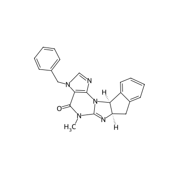 CN1C(=O)c2c(ncn2Cc2ccccc2)N2C1=N[C@@H]1Cc3ccccc3[C@@H]12